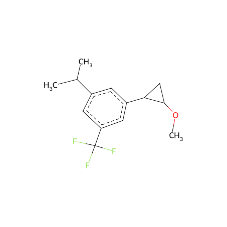 COC1CC1c1cc(C(C)C)cc(C(F)(F)F)c1